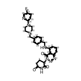 O=C1CCC(n2nnc3cccc(NCc4ccc(CN5CCN(c6ccc(F)cn6)CC5)cc4)c3c2=O)C(=O)N1